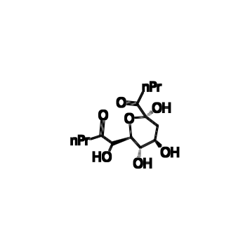 CCCC(=O)C(O)[C@H]1O[C@@](O)(C(=O)CCC)C[C@@H](O)[C@@H]1O